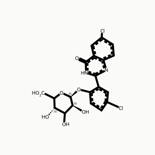 O=C(O)C1O[C@@H](Oc2ccc(Cl)cc2-c2nc3ccc(Cl)cc3c(=O)[nH]2)[C@@H](O)C(O)[C@@H]1O